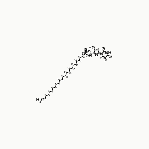 CCCCCCCCCCCCCCCCCCCCCCCCOP(=O)(O)OC[C@H]1O[C@@H](n2cc(F)c(=O)[nH]c2=O)C[C@@H]1O